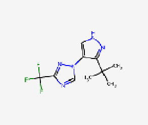 CC(C)(C)c1n[nH]cc1-n1cnc(C(F)(F)F)n1